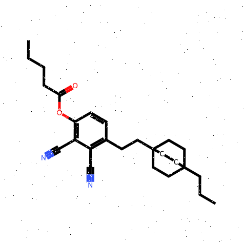 CCCCC(=O)Oc1ccc(CCC23CCC(CCC)(CC2)CC3)c(C#N)c1C#N